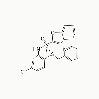 O=S(=O)(Nc1cc(Cl)ccc1SCc1ccccn1)c1cc2ccccc2o1